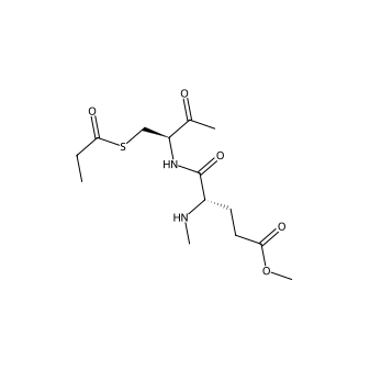 CCC(=O)SC[C@H](NC(=O)[C@H](CCC(=O)OC)NC)C(C)=O